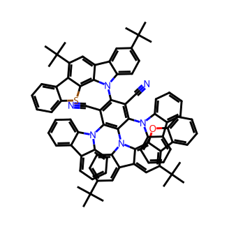 CC(C)(C)c1ccc2c(c1)c1cc(C(C)(C)C)c3c4ccccc4oc3c1n2-c1c(-n2c3ccccc3c3ccccc32)c(C#N)c(-n2c3ccc(C(C)(C)C)cc3c3cc(C(C)(C)C)c4c5ccccc5sc4c32)c(C#N)c1-n1c2ccccc2c2ccccc21